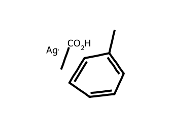 CC(=O)O.Cc1ccccc1.[Ag]